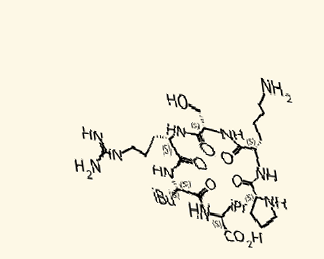 CC[C@H](C)[C@H](NC(=O)[C@H](CCCNC(=N)N)NC(=O)[C@H](CO)NC(=O)[C@H](CCCCN)NC(=O)[C@@H]1CCCN1)C(=O)N[C@H](C(=O)O)C(C)C